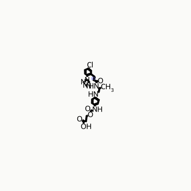 CC(CNc1ccc(NC(=O)OCCC(=O)O)cc1)NC(=O)/C=C/c1cc(Cl)ccc1-n1cnnn1